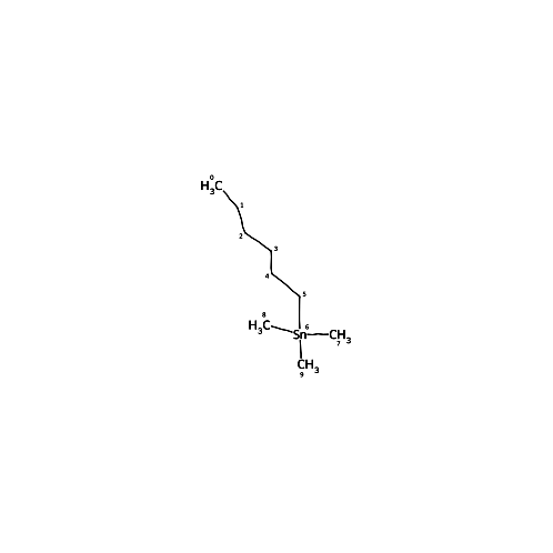 CCCCC[CH2][Sn]([CH3])([CH3])[CH3]